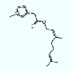 CC(C)=CCCC(C)=CCOC(=O)Cn1cc[n+](C)c1